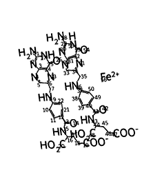 Nc1nc2ncc(CNc3ccc(C(=O)NC(CCC(=O)[O-])C(=O)O)cc3)nc2c(=O)[nH]1.Nc1nc2ncc(CNc3ccc(C(=O)NC(CCC(=O)[O-])C(=O)O)cc3)nc2c(=O)[nH]1.[Fe+2]